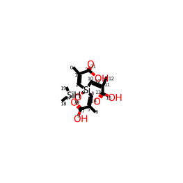 CC(=C[Si](C=C(C)C(=O)O)(C=C(C)C(=O)O)O[SiH](C)C)C(=O)O